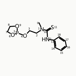 CN(CCOP1OCCO1)C(=S)Nc1ccccc1